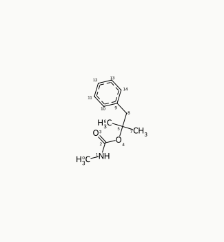 CNC(=O)OC(C)(C)Cc1ccccc1